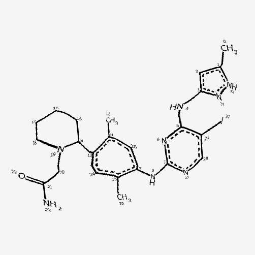 Cc1cc(Nc2nc(Nc3cc(C)c(C4CCCCN4CC(N)=O)cc3C)ncc2I)n[nH]1